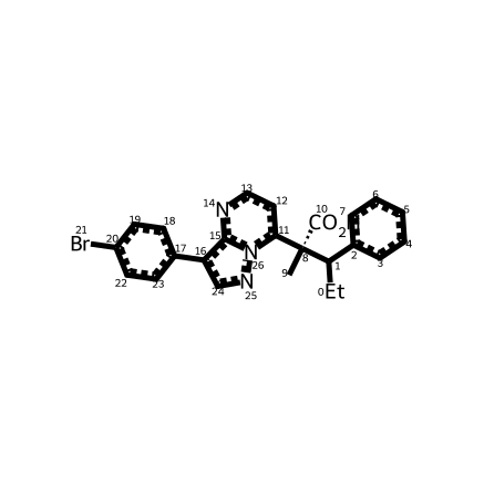 CCC(c1ccccc1)[C@](C)(C(=O)O)c1ccnc2c(-c3ccc(Br)cc3)cnn12